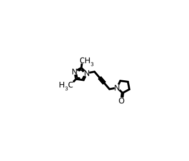 Cc1cn(CC#CCN2CCCC2=O)c(C)n1